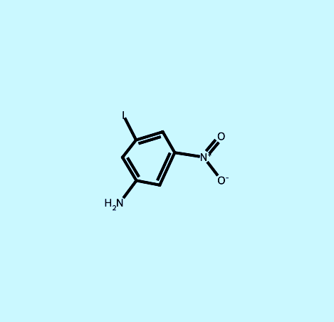 Nc1cc(I)cc([N+](=O)[O-])c1